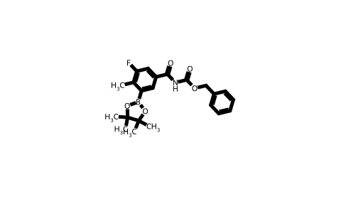 Cc1c(F)cc(C(=O)NC(=O)OCc2ccccc2)cc1B1OC(C)(C)C(C)(C)O1